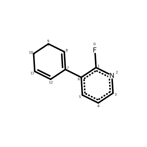 Fc1ncccc1C1=C[CH]CC=C1